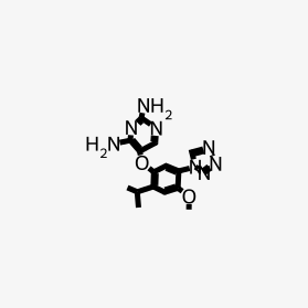 COc1cc(C(C)C)c(Oc2cnc(N)nc2N)cc1-n1cnnn1